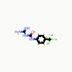 N=C(N)NC(=O)Nc1ccc(C(F)(F)F)cc1